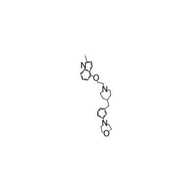 Cc1ccc2c(OCCN3CCC(Cc4cccc(N5CCOCC5)c4)CC3)cccc2n1